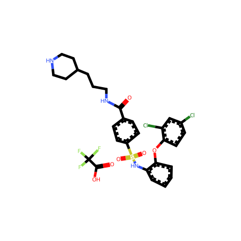 O=C(NCCCC1CCNCC1)c1ccc(S(=O)(=O)Nc2ccccc2Oc2ccc(Cl)cc2Cl)cc1.O=C(O)C(F)(F)F